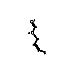 C/C=C\COC=O